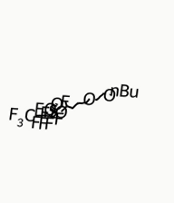 CCCCOCCOCCCC(F)OS(=O)(=O)C(F)(F)C(F)(F)C(F)(F)C(F)(F)F